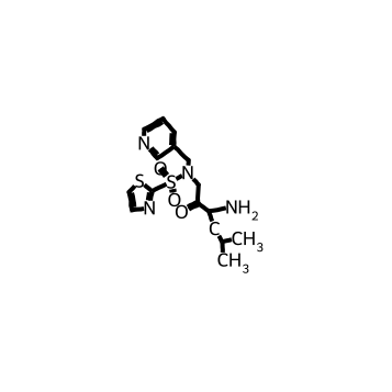 CC(C)CC(N)C(=O)CN(Cc1cccnc1)S(=O)(=O)c1nccs1